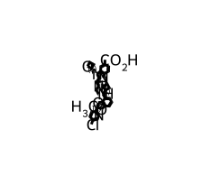 C[C@@]1(c2ccc(Cl)cn2)Oc2cccc(N3CCN(Cc4nc5ccc(C(=O)O)cc5n4C[C@@H]4CCO4)[C@@H]4CC[C@H]43)c2O1